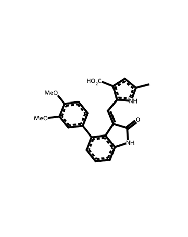 COc1ccc(-c2cccc3c2/C(=C/c2[nH]c(C)cc2C(=O)O)C(=O)N3)cc1OC